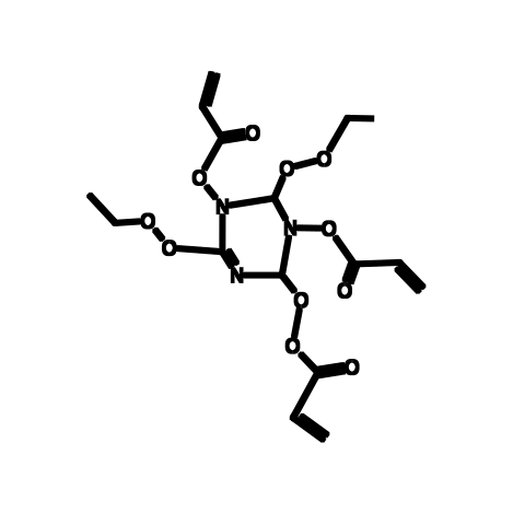 C=CC(=O)OOC1N=C(OOCC)N(OC(=O)C=C)C(OOCC)N1OC(=O)C=C